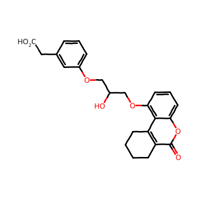 O=C(O)Cc1cccc(OCC(O)COc2cccc3oc(=O)c4c(c23)CCCC4)c1